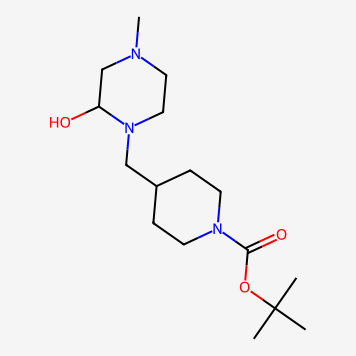 CN1CCN(CC2CCN(C(=O)OC(C)(C)C)CC2)C(O)C1